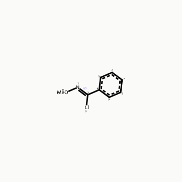 CO/N=C(\Cl)c1ccccc1